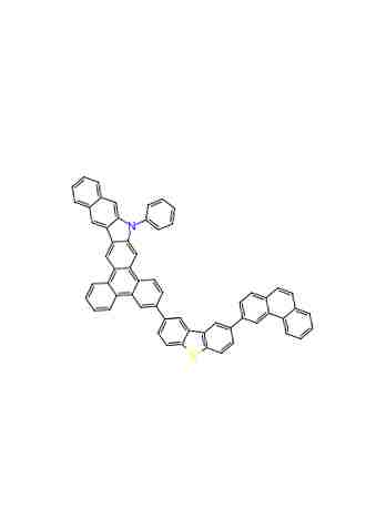 c1ccc(-n2c3cc4ccccc4cc3c3cc4c5ccccc5c5cc(-c6ccc7sc8ccc(-c9ccc%10ccc%11ccccc%11c%10c9)cc8c7c6)ccc5c4cc32)cc1